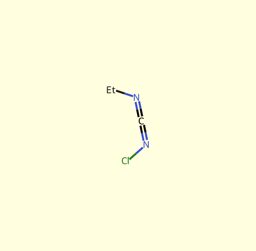 CCN=C=NCl